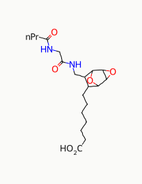 CCCC(=O)NCC(=O)NCC1C(CCCCCCC(=O)O)C2OC1C1OC21